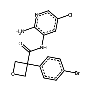 Nc1ncc(Cl)cc1NC(=O)C1(c2ccc(Br)cc2)COC1